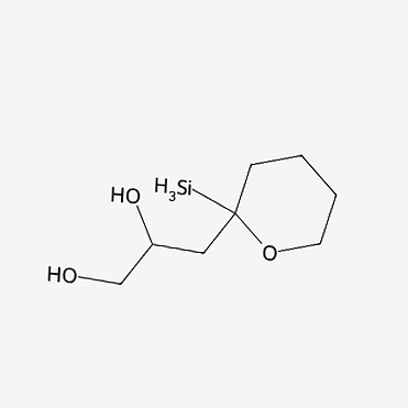 OCC(O)CC1([SiH3])CCCCO1